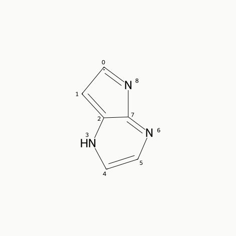 [c]1cc2[nH]ccnc-2n1